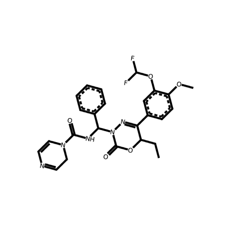 CCC1OC(=O)N(C(NC(=O)N2C=CN=CC2)c2ccccc2)N=C1c1ccc(OC)c(OC(F)F)c1